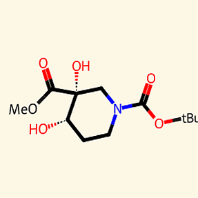 COC(=O)[C@@]1(O)CN(C(=O)OC(C)(C)C)CC[C@@H]1O